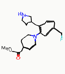 COC(=O)C1CCN(c2cc(CF)ccc2C2CCNC2)CC1